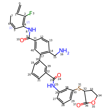 C=C/C(F)=C(\C=C/C)NC(=O)c1ccc(CN)c(-c2cccc(C(=O)Nc3cccc(SC4CCOC4=O)c3)c2)c1